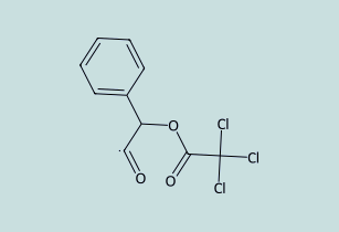 O=[C]C(OC(=O)C(Cl)(Cl)Cl)c1ccccc1